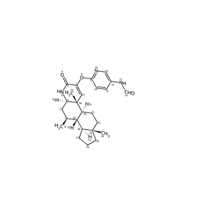 C[C@H]1C[C@H]2NC(=O)C(Oc3ccc(NC=O)cn3)=C[C@]2(C)[C@H]2CC[C@]3(C)CCC[C@H]3[C@H]12